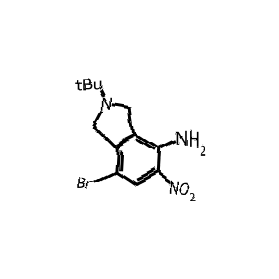 CC(C)(C)N1Cc2c(Br)cc([N+](=O)[O-])c(N)c2C1